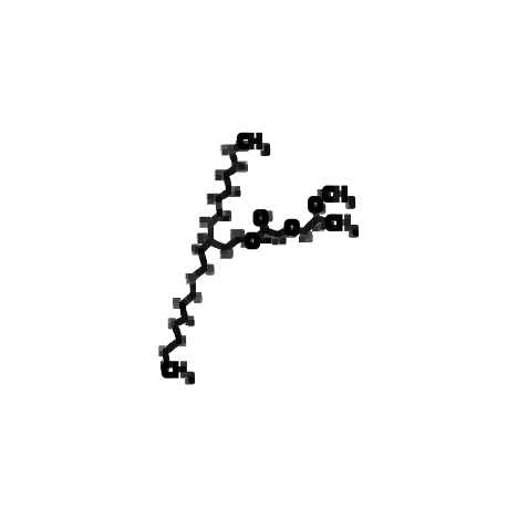 CCCCCCCCCCC(CCCCCCCC)CCOC(=O)COCC(C)OC